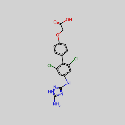 Nc1nc(Nc2cc(Cl)c(-c3ccc(OCC(=O)O)cc3)c(Cl)c2)n[nH]1